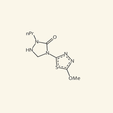 CCCN1NCN(c2nnc(OC)s2)C1=O